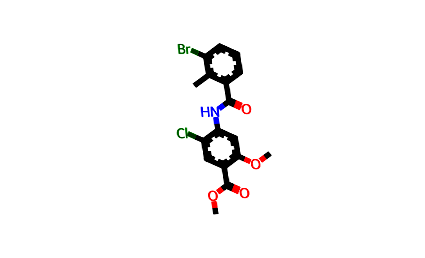 COC(=O)c1cc(Cl)c(NC(=O)c2cccc(Br)c2C)cc1OC